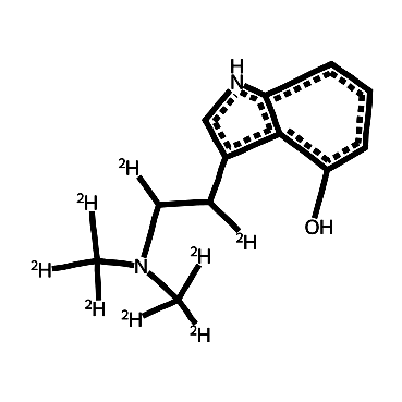 [2H]C(c1c[nH]c2cccc(O)c12)C([2H])N(C([2H])([2H])[2H])C([2H])([2H])[2H]